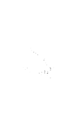 CNCCN1CCN(c2ccc(C(=O)NCC(=O)N[C@H](C(=O)N3C[C@@H](O)C[C@H]3C(=O)NCCc3ccc(-c4scnc4C)cc3)C(C)(C)C)cc2)CC1.Cl